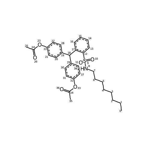 CCCCCCCCNS(=O)(=O)c1ccccc1C(c1ccc(OC(C)=O)cc1)c1ccc(OC(C)=O)cc1